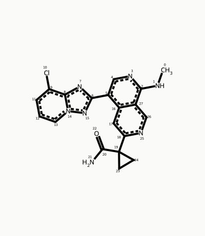 CNc1ncc(-c2nc3c(Cl)cccn3n2)c2cc(C3(C(N)=O)CC3)ncc12